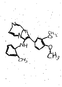 COc1ccc(-c2nc3cnccn3c2Nc2ccccc2C)cc1OC